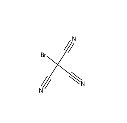 N#CC(Br)(C#N)C#N